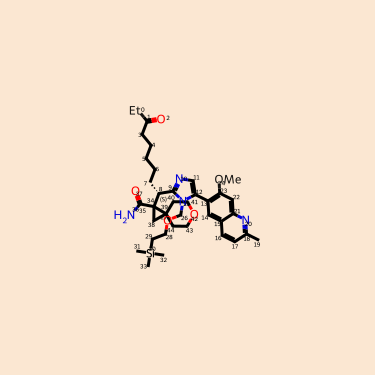 CCC(=O)CCCCC[C@H](c1ncc(-c2cc3ccc(C)nc3cc2OC)n1COCC[Si](C)(C)C)C1(C(N)=O)CC12CCOCC2